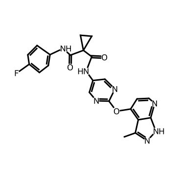 Cc1n[nH]c2nccc(Oc3ncc(NC(=O)C4(C(=O)Nc5ccc(F)cc5)CC4)cn3)c12